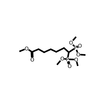 COC(=O)CCCCCC(P(=O)(OC)OC)P(=O)(OC)OC